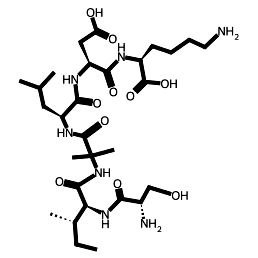 CC[C@H](C)[C@H](NC(=O)[C@@H](N)CO)C(=O)NC(C)(C)C(=O)N[C@@H](CC(C)C)C(=O)N[C@@H](CC(=O)O)C(=O)N[C@@H](CCCCN)C(=O)O